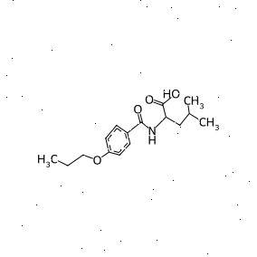 CCCOc1ccc(C(=O)NC(CC(C)C)C(=O)O)cc1